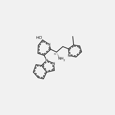 Cc1cccnc1C[C@H](N)c1ncccc1-n1ncc2ccccc21.Cl